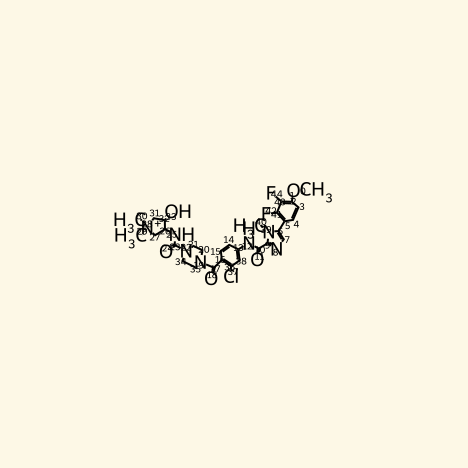 COc1ccc(-c2cnc(C(=O)Nc3ccc(C(=O)N4CCN(C(=O)NC5C[N+](C)(C)CC5O)CC4)c(Cl)c3)n2C)c(F)c1F